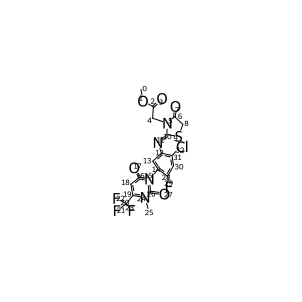 COC(=O)CN1C(=O)CSC1=Nc1cc(-n2c(=O)cc(C(F)(F)F)n(C)c2=O)c(F)cc1Cl